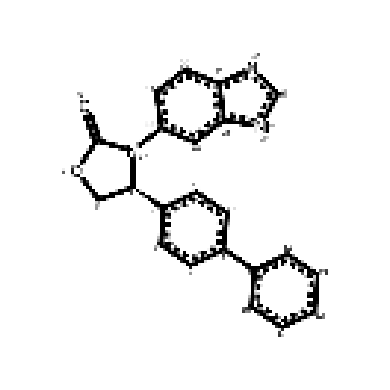 O=C1OC[C@H](c2ccc(-c3ccccc3)cc2)N1c1ccc2nc[nH]c2c1